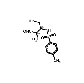 Cc1ccc(S(=O)(=O)N[C@H](CC(C)C)[C@@H](C)C=O)cc1